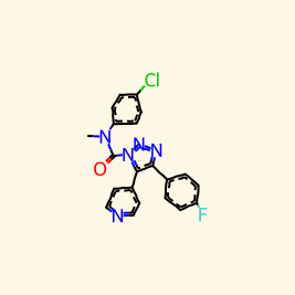 CN(C(=O)n1nnc(-c2ccc(F)cc2)c1-c1ccncc1)c1ccc(Cl)cc1